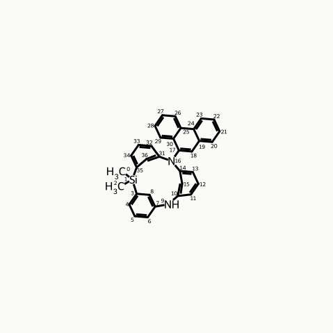 C[Si]1(C)c2cccc(c2)Nc2cccc(c2)N(c2cc3ccccc3c3ccccc23)c2cccc1c2